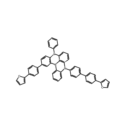 c1ccc(N2c3ccc(-c4ccc(-c5ccco5)cc4)cc3B3c4ccccc4N(c4ccc(-c5ccc(-c6ccco6)cc5)cc4)c4cccc2c43)cc1